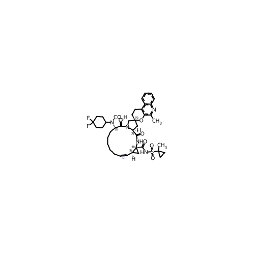 Cc1nc2ccccc2c2c1O[C@]1(CC2)C[C@H]2C(=O)N[C@]3(C(=O)NS(=O)(=O)C4(C)CC4)C[C@H]3/C=C\CCCCC[C@H](N(C(=O)O)C3CCC(F)(F)CC3)C(=O)N2C1